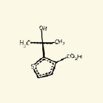 CC(C)(O)c1sccc1C(=O)O